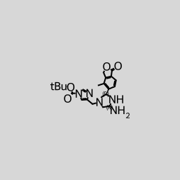 Cc1c([C@@H]2CN(Cc3cn(C(=O)OC(C)(C)C)cn3)C[C@H](N)N2)ccc2c1COC2=O